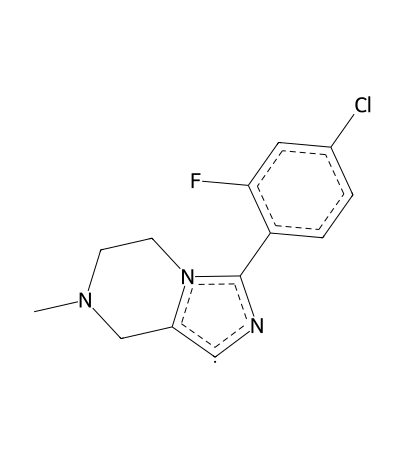 CN1CCn2c([c]nc2-c2ccc(Cl)cc2F)C1